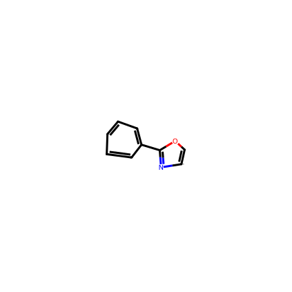 [c]1coc(-c2ccccc2)n1